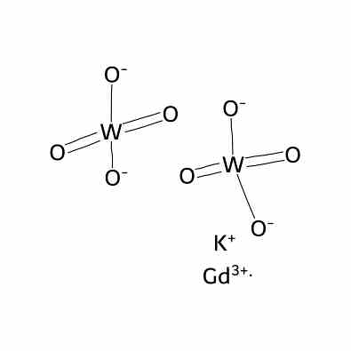 [Gd+3].[K+].[O]=[W](=[O])([O-])[O-].[O]=[W](=[O])([O-])[O-]